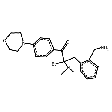 CCC(Cc1ccccc1CN)(C(=O)c1ccc(N2CCOCC2)cc1)N(C)C